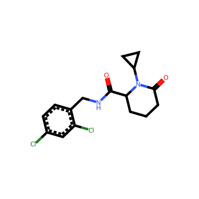 O=C(NCc1ccc(Cl)cc1Cl)C1CCCC(=O)N1C1CC1